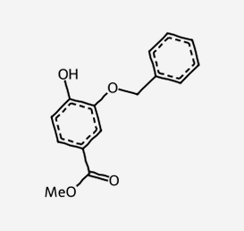 COC(=O)c1ccc(O)c(OCc2ccccc2)c1